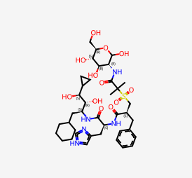 CC(C)(C(=O)N[C@H]1C(O)O[C@H](CO)[C@@H](O)[C@@H]1O)S(=O)(=O)C[C@@H](Cc1ccccc1)C(=O)N[C@@H](Cc1c[nH]cn1)C(=O)N[C@@H](CC1CCCCC1)[C@@H](O)[C@@H](O)C1CC1